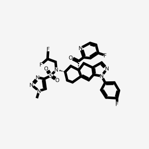 Cn1cc(S(=O)(=O)N(CC(F)F)[C@H]2CCC3=Cc4c(cnn4-c4ccc(F)cc4)C[C@]3(C(=O)c3cc(F)ccn3)C2)nn1